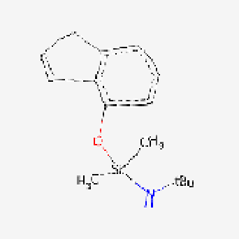 CC(C)(C)N[Si](C)(C)Oc1cccc2c1C=CC2